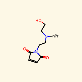 CCCN(CCO)CCN1C(=O)C=CC1=O